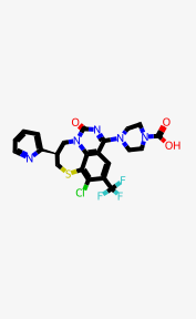 O=C(O)N1CCN(c2nc(=O)n3c4c(c(Cl)c(C(F)(F)F)cc24)SC[C@@H](c2ccccn2)C3)CC1